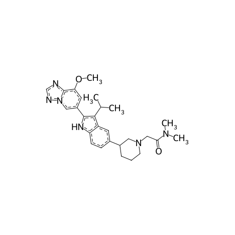 COc1cc(-c2[nH]c3ccc(C4CCCN(CC(=O)N(C)C)C4)cc3c2C(C)C)cn2ncnc12